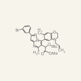 C=CCN1CCOc2cc(C)c(-c3c(C(OC(C)(C)C)C(=O)OC)c(C)nc4cc(-c5cccc(Br)c5)nn34)cc21